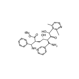 Cc1ccnc(C)c1C(O)C(=O)[C@@H](C(N)c1ccccc1)[C@@H](O)C[C@H](C(=O)OC(C)(C)C)C(N)c1ccccc1